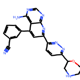 N#Cc1cccc(-c2cc(-c3ccc(C4CNCCO4)nn3)nc3ncnc(N)c23)c1